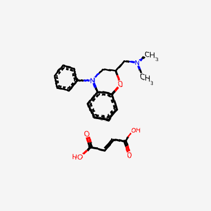 CN(C)CC1CN(c2ccccc2)c2ccccc2O1.O=C(O)C=CC(=O)O